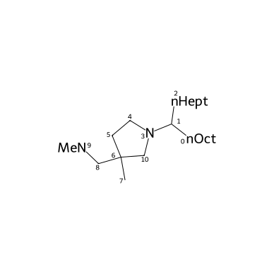 CCCCCCCCC(CCCCCCC)N1CCC(C)(CNC)C1